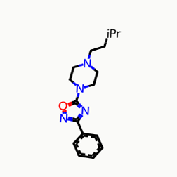 CC(C)CCN1CCN(c2nc(-c3ccccc3)no2)CC1